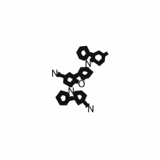 CC1C=Cc2c(c3ccccc3n2-c2ccc3oc4c(-n5c6ccccc6c6cc(C#N)ccc65)cc(C#N)cc4c3c2)C1